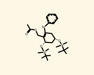 CC(=O)OCC1=C([Se]c2ccccc2)C[C@H](O[Si](C)(C)C(C)(C)C)C[C@@H]1O[Si](C)(C)C(C)(C)C